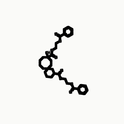 CC1(C(=O)OCCOC(=O)c2ccccc2)CCCCC2(CCCC(C(=O)OCCOC(=O)c3ccccc3)C2)CC1